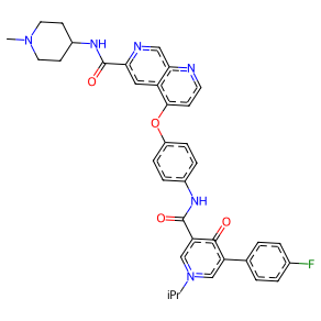 CC(C)n1cc(C(=O)Nc2ccc(Oc3ccnc4cnc(C(=O)NC5CCN(C)CC5)cc34)cc2)c(=O)c(-c2ccc(F)cc2)c1